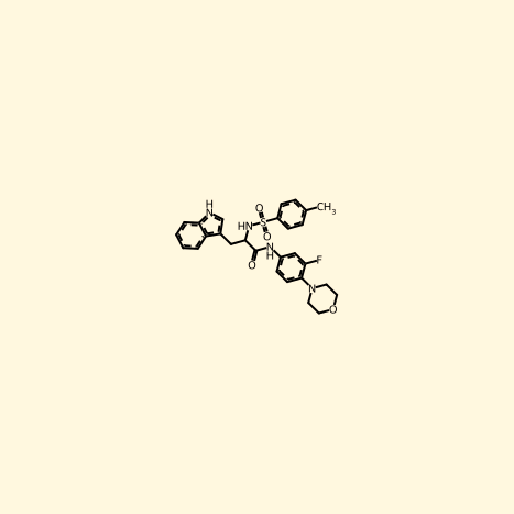 Cc1ccc(S(=O)(=O)NC(Cc2c[nH]c3ccccc23)C(=O)Nc2ccc(N3CCOCC3)c(F)c2)cc1